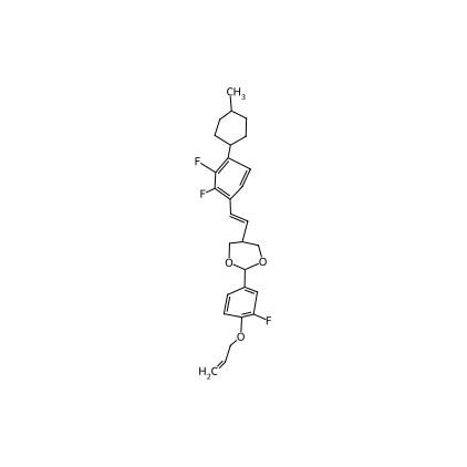 C=CCOc1ccc(C2OCC(/C=C/c3ccc(C4CCC(C)CC4)c(F)c3F)CO2)cc1F